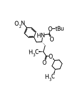 C[C@@H]1CCC[C@H](OC(=O)[C@@H](C)C[C@H](Cc2ccc([N+](=O)[O-])cc2)NC(=O)OC(C)(C)C)C1